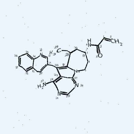 C=CC(=O)N[C@@H]1CCn2c(c(-c3cnc4ccccc4c3)c3c(N)ncnc32)C(C)C1